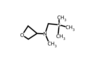 CN(CS(C)(C)C)C1COC1